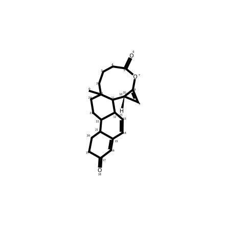 CC12CCCC(=O)OC3=C[C@@H]3C1C1C=CC3=CC(=O)CCC3C1CC2